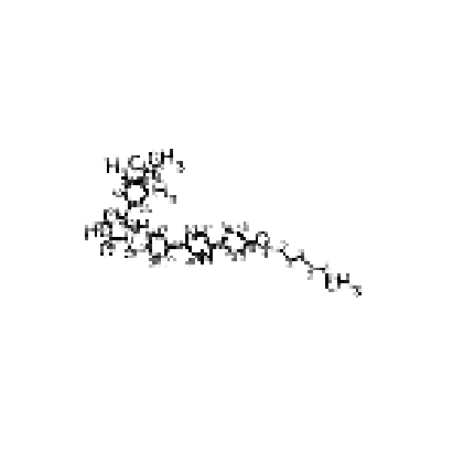 CCCCCCCOc1ccc(-c2cnc(-c3ccc(C[C@H](NC(=O)c4ccc(C(C)(C)C)cc4)C(=O)O)cc3)cn2)cc1